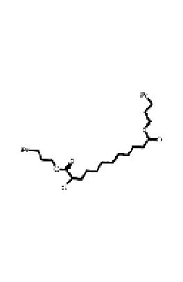 CCC(CCCCCCCCCC(=O)OCCCC(C)C)C(=O)OCCCC(C)C